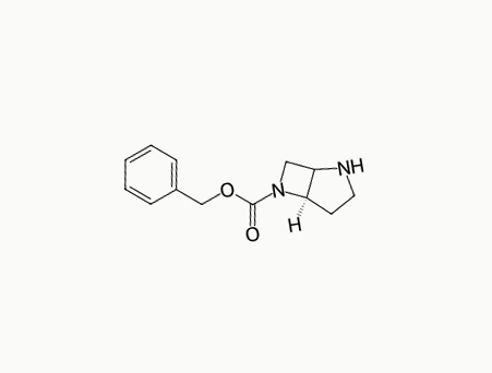 O=C(OCc1ccccc1)N1CC2NCC[C@H]21